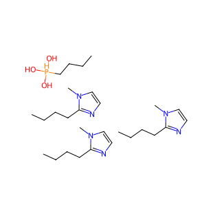 CCCC[PH](O)(O)O.CCCCc1nccn1C.CCCCc1nccn1C.CCCCc1nccn1C